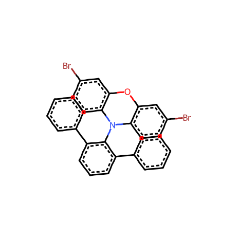 Brc1ccc2c(c1)Oc1cc(Br)ccc1N2c1c(-c2ccccc2)cccc1-c1ccccc1